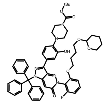 CC(C)(C)OC(=O)N1CCN(c2ccc(-c3nn(C(c4ccccc4)(c4ccccc4)c4ccccc4)c4cc(=O)n(-c5c(F)cccc5OCCCCOC5CCCCO5)nc34)cc2O)CC1